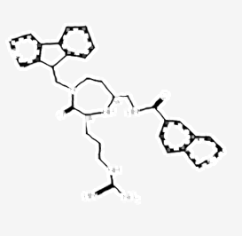 N=C(N)NCCC[C@@H]1N[C@H](CNC(=O)c2ccc3ccccc3c2)CCN(CC2c3ccccc3-c3ccccc32)C1=O